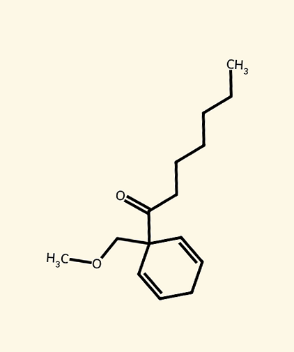 CCCCCCC(=O)C1(COC)C=CCC=C1